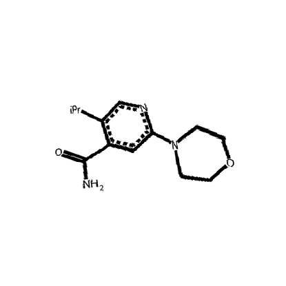 CC(C)c1cnc(N2CCOCC2)cc1C(N)=O